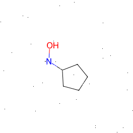 O[N]C1CCCC1